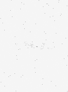 COc1ccc(Cn2cc(C#Cc3ccc(OC)c(F)c3OC)cn2)cc1